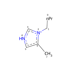 CCCC[n+]1c[nH]cc1C